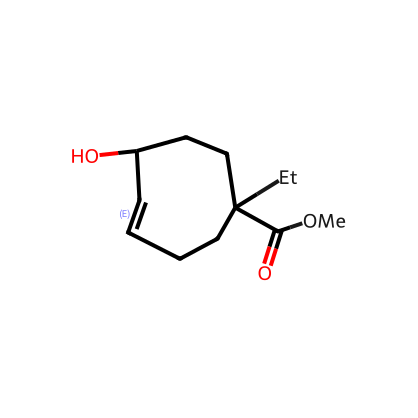 CCC1(C(=O)OC)CC/C=C/C(O)CC1